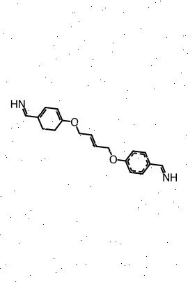 N=CC1=CC=C(OC/C=C/COc2ccc(C=N)cc2)CC1